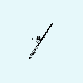 C=COOOOOOOCCCCCCCCCCCCCCCCCC.O=P(O)(O)O